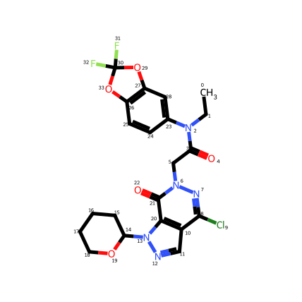 CCN(C(=O)Cn1nc(Cl)c2cnn(C3CCCCO3)c2c1=O)c1ccc2c(c1)OC(F)(F)O2